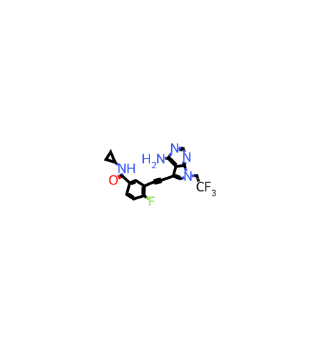 Nc1ncnc2c1c(C#Cc1cc(C(=O)NC3CC3)ccc1F)cn2CC(F)(F)F